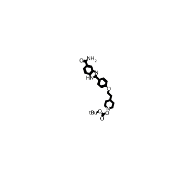 CC(C)(C)OC(=O)ON1CCC(CCOc2ccc(-c3nc4cc(C(N)=O)ccc4[nH]3)cc2)CC1